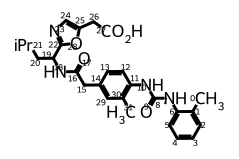 Cc1ccccc1NC(=O)Nc1ccc(CC(=O)NC(CC(C)C)c2ncc(CC(=O)O)o2)cc1C